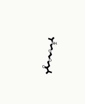 CC(C)NCCOCCOCCC(=O)C(C)C